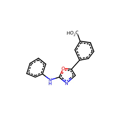 O=C(O)c1cccc(-c2cnc(Nc3ccccc3)o2)c1